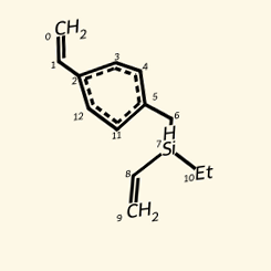 C=Cc1ccc(C[SiH](C=C)CC)cc1